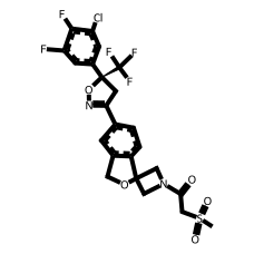 CS(=O)(=O)CC(=O)N1CC2(C1)OCc1cc(C3=NO[C@@](c4cc(F)c(F)c(Cl)c4)(C(F)(F)F)C3)ccc12